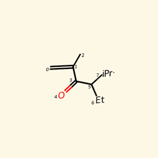 C=C(C)C(=O)C(CC)[C](C)C